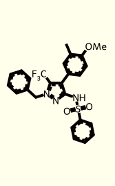 COc1ccc(-c2c(NS(=O)(=O)c3ccccc3)nn(Cc3ccccc3)c2C(F)(F)F)cc1C